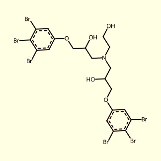 OCCN(CC(O)COc1cc(Br)c(Br)c(Br)c1)CC(O)COc1cc(Br)c(Br)c(Br)c1